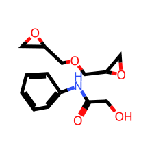 C(OCC1CO1)C1CO1.O=C(CO)Nc1ccccc1